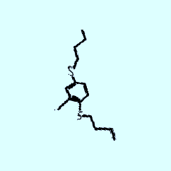 [CH2]c1cc(SCCCC)ccc1SCCCC